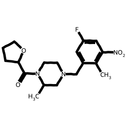 Cc1c(CN2CCN(C(=O)C3CCCO3)C(C)C2)cc(F)cc1[N+](=O)[O-]